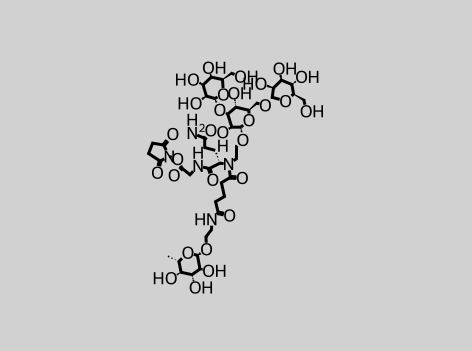 C[C@@H]1O[C@@H](OCCNC(=O)CCCC(=O)N(CCO[C@H]2O[C@H](CO[C@H]3O[C@H](CO)[C@@H](O)[C@H](O)[C@@H]3O)[C@@H](O)[C@H](O[C@H]3O[C@H](CO)[C@@H](O)[C@H](O)[C@@H]3O)[C@@H]2O)[C@@H](CCC(N)=O)C(=O)NCC(=O)ON2C(=O)CCC2=O)[C@@H](O)[C@H](O)[C@@H]1O